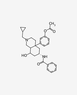 CC(=O)Oc1cccc(C23CCN(CC4CC4)CC2C(O)C[C@@H](NC(=O)c2ccccc2)C3)c1